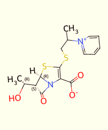 CC(CSC1=C(C(=O)[O-])N2C(=O)[C@H]([C@@H](C)O)[C@H]2S1)[n+]1ccccc1